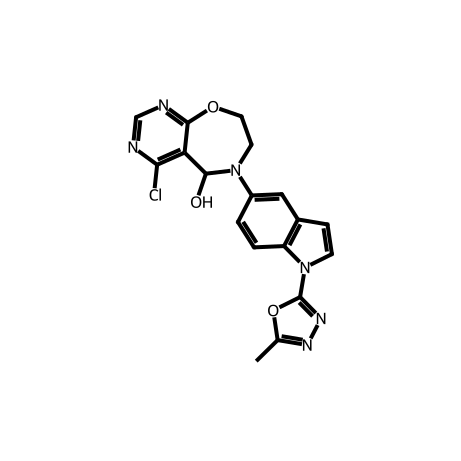 Cc1nnc(-n2ccc3cc(N4CCOc5ncnc(Cl)c5C4O)ccc32)o1